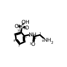 NCC(=O)Nc1ccccc1S(=O)(=O)O